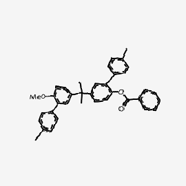 COc1ccc(C(C)(C)c2ccc(OC(=O)c3ccccc3)c(-c3ccc(C)cc3)c2)cc1-c1ccc(C)cc1